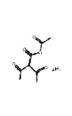 CC(=O)OC(=O)C(C(C)=O)C(C)=O.[AlH3]